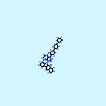 c1ccc(-c2ccc(-c3ccc(-c4nnc(-n5c6ccccc6c6cc7ccccc7cc65)c5nccnc45)cc3)cc2)cc1